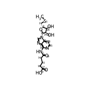 CSC[C@H]1O[C@@H](n2cnc3c(NC(=O)CCCC(=O)O)ncnc32)[C@H](O)[C@@H]1O